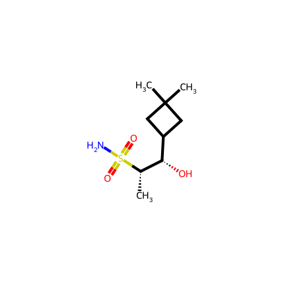 C[C@@H]([C@@H](O)C1CC(C)(C)C1)S(N)(=O)=O